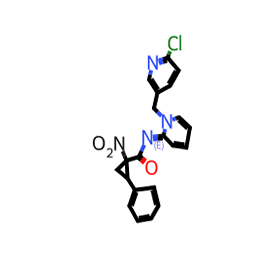 O=C(/N=c1\ccccn1Cc1ccc(Cl)nc1)C1([N+](=O)[O-])CC1c1ccccc1